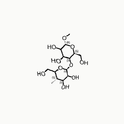 CO[C@@H]1O[C@@H](CO)[C@@H](O[C@@H]2OC(CO)[C@@H](C)[C@H](O)C2O)C(O)C1O